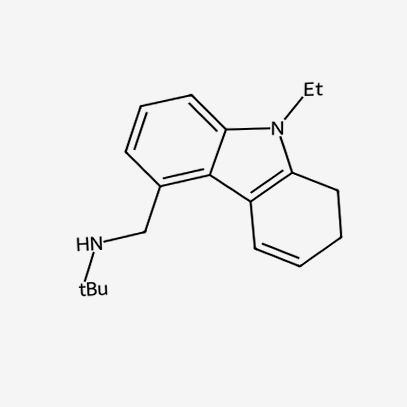 CCn1c2c(c3c(CNC(C)(C)C)cccc31)C=CCC2